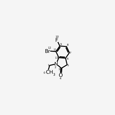 CCN1C(=O)Cc2ccc(F)c(Br)c21